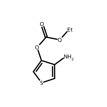 CCOC(=O)Oc1cscc1N